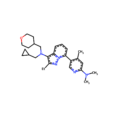 CCc1nn2c(-c3cnc(N(C)C)cc3C)cccc2c1N(CC1CCOCC1)CC1CC1